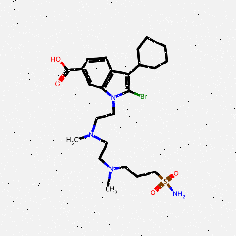 CN(CCCS(N)(=O)=O)CCN(C)CCn1c(Br)c(C2CCCCC2)c2ccc(C(=O)O)cc21